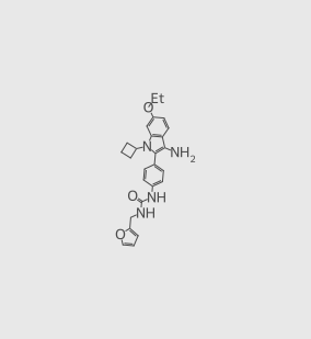 CCOc1ccc2c(N)c(-c3ccc(NC(=O)NCc4ccco4)cc3)n(C3CCC3)c2c1